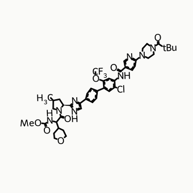 COC(=O)NC(C(=O)N1CC(C)C[C@H]1c1nc(-c2ccc(-c3cc(Cl)c(NC(=O)c4ccc(N5CCN(C(=O)C(C)(C)C)CC5)nc4)cc3OC(F)(F)F)cc2)c[nH]1)C1CCOCC1